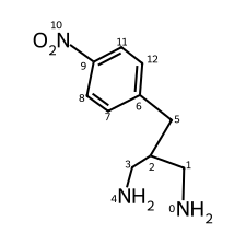 NCC(CN)Cc1ccc([N+](=O)[O-])cc1